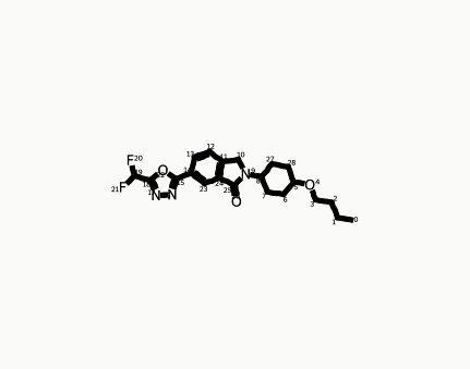 CCCCOC1CCC(N2Cc3ccc(-c4nnc(C(F)F)o4)cc3C2=O)CC1